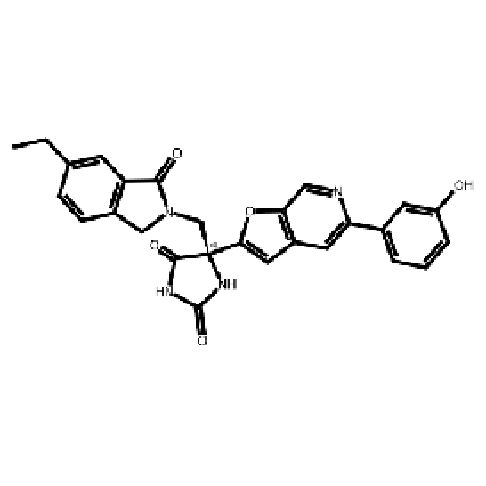 CCc1ccc2c(c1)C(=O)N(C[C@@]1(c3cc4cc(-c5cccc(O)c5)ncc4o3)NC(=O)NC1=O)C2